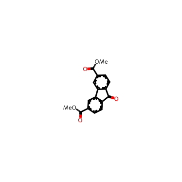 COC(=O)c1ccc2c(c1)-c1cc(C(=O)OC)ccc1C2=O